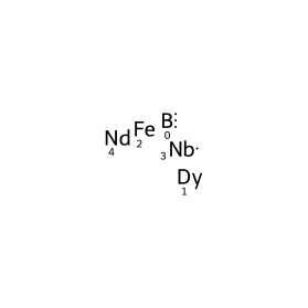 [B].[Dy].[Fe].[Nb].[Nd]